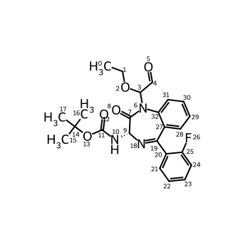 CCOC(C=O)N1C(=O)[C@@H](NC(=O)OC(C)(C)C)N=C(c2ccccc2F)c2ccccc21